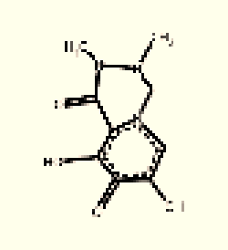 CN1Cn2cc(O)c(=O)c(O)c2C(=O)N1C